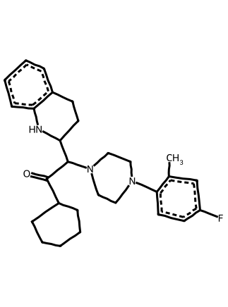 Cc1cc(F)ccc1N1CCN(C(C(=O)C2CCCCC2)C2CCc3ccccc3N2)CC1